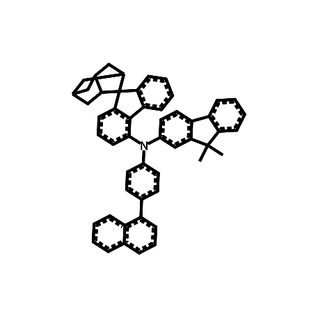 CC1(C)c2ccccc2-c2ccc(N(c3ccc(-c4cccc5ccccc45)cc3)c3cccc4c3-c3ccccc3C43C4CC5CC(C4)C3C5)cc21